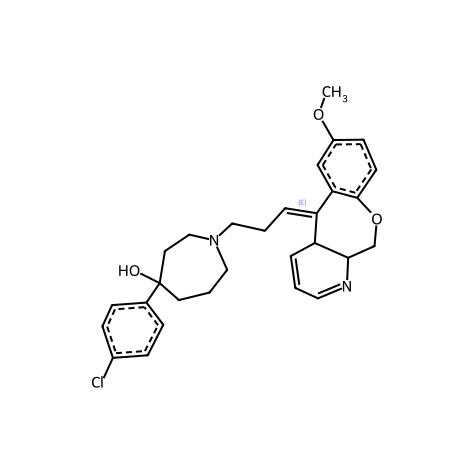 COc1ccc2c(c1)/C(=C/CCN1CCCC(O)(c3ccc(Cl)cc3)CC1)C1C=CC=NC1CO2